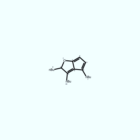 CCCC[C]1OC2=CC=C(CCCC)C2=C1CCCC